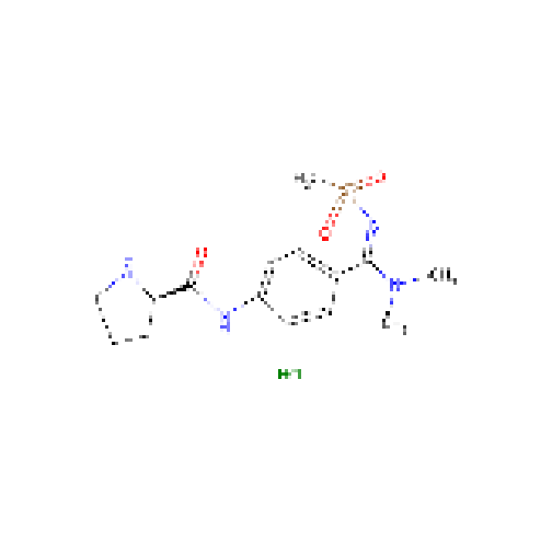 CN(C)/C(=N/S(C)(=O)=O)c1ccc(NC(=O)[C@H]2CCCN2)cc1.Cl